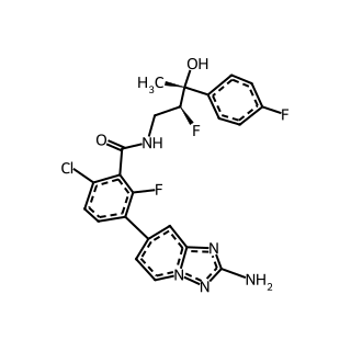 C[C@@](O)(c1ccc(F)cc1)[C@@H](F)CNC(=O)c1c(Cl)ccc(-c2ccn3nc(N)nc3c2)c1F